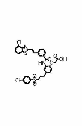 O=C(O)COc1ccc(CCCS(=O)(=O)c2ccc(Cl)cc2)cc1NC(=O)c1cccc(C=Cc2nc3c(Cl)cccc3s2)c1